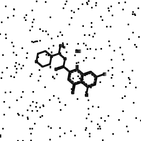 CC(OC(=O)c1cc(=O)c2c(Cl)cc(Cl)cc2[nH]1)N1CCOCC1.Cl